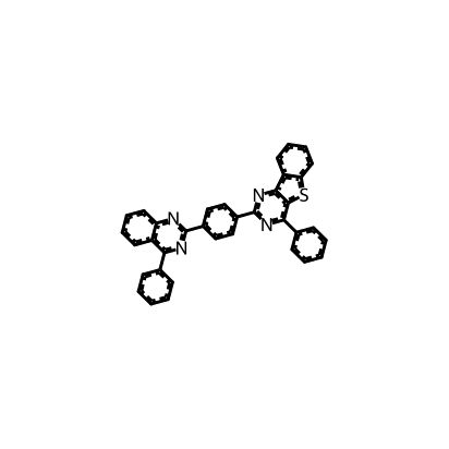 c1ccc(-c2nc(-c3ccc(-c4nc(-c5ccccc5)c5sc6ccccc6c5n4)cc3)nc3ccccc23)cc1